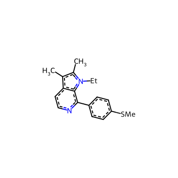 CCn1c(C)c(C)c2ccnc(-c3ccc(SC)cc3)c21